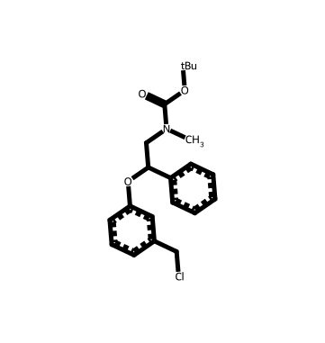 CN(CC(Oc1cccc(CCl)c1)c1ccccc1)C(=O)OC(C)(C)C